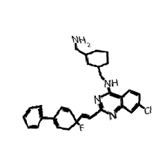 NCC1CCCC(CNc2nc(C=CC3(F)C=CC(c4ccccc4)=CC3)nc3cc(Cl)ccc23)C1